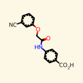 N#Cc1cccc(OCC(=O)Nc2ccc(C(=O)O)cc2)c1